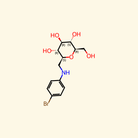 OC[C@H]1O[C@@H](CNc2ccc(Br)cc2)[C@H](O)[C@@H](O)[C@@H]1O